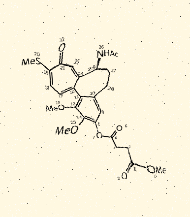 COC(=O)CCC(=O)Oc1cc2c(c(OC)c1OC)-c1ccc(SC)c(=O)cc1[C@@H](NC(C)=O)CC2